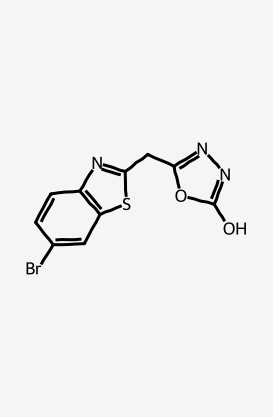 Oc1nnc(Cc2nc3ccc(Br)cc3s2)o1